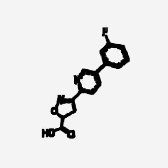 O=C(O)C1CC(c2ccc(-c3cccc(F)c3)cn2)=NO1